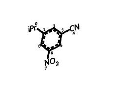 [CH2]C(C)c1cc(C#N)cc([N+](=O)[O-])c1